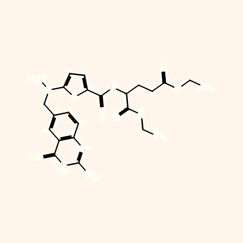 CCOC(=O)CCC(NC(=O)c1ccc(N(C)Cc2ccc3nc(C)[nH]c(=O)c3c2)s1)C(=O)OCC